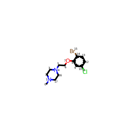 CN1CCN(CCOc2cc(Cl)ccc2Br)CC1